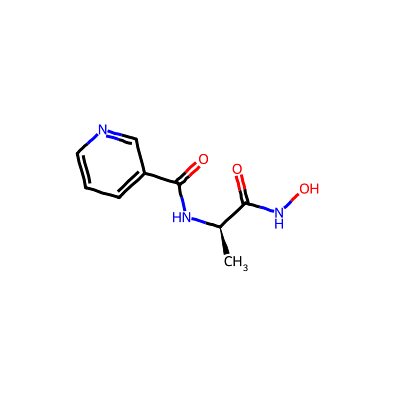 C[C@@H](NC(=O)c1cccnc1)C(=O)NO